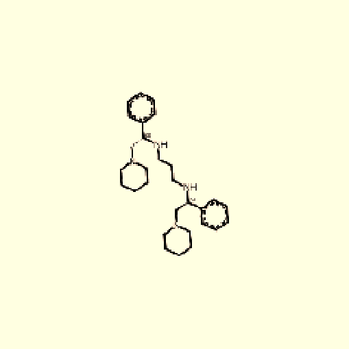 c1ccc([C@@H](CN2CCCCC2)NCCCN[C@H](CN2CCCCC2)c2ccccc2)cc1